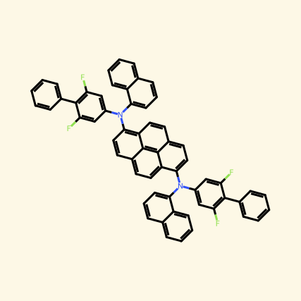 Fc1cc(N(c2cccc3ccccc23)c2ccc3ccc4c(N(c5cc(F)c(-c6ccccc6)c(F)c5)c5cccc6ccccc56)ccc5ccc2c3c54)cc(F)c1-c1ccccc1